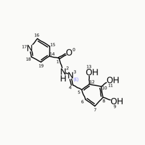 O=C(N/N=C/c1ccc(O)c(O)c1O)c1ccncc1